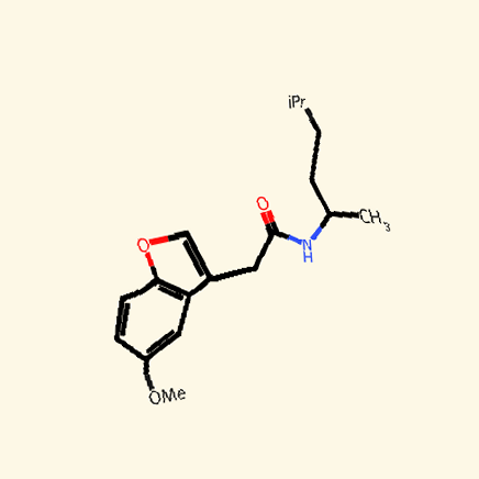 COc1ccc2occ(CC(=O)NC(C)CCC(C)C)c2c1